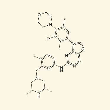 Cc1ccc(Nc2ncc3ccn(-c4cc(F)c(N5CCOCC5)c(F)c4C)c3n2)cc1CN1C[C@@H](C)N[C@@H](C)C1